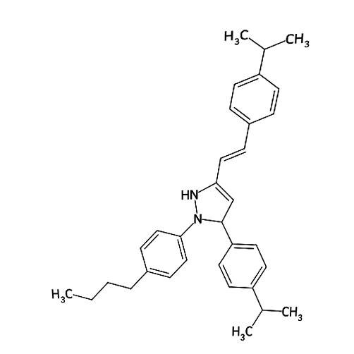 CCCCc1ccc(N2NC(C=Cc3ccc(C(C)C)cc3)=CC2c2ccc(C(C)C)cc2)cc1